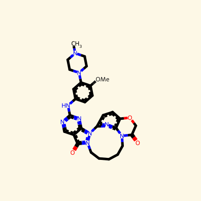 COc1ccc(Nc2ncc3c(=O)n4n(c3n2)-c2ccc3c(n2)N(CCCCC4)C(=O)CO3)cc1N1CCN(C)CC1